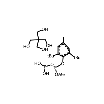 COP(Oc1c(C(C)(C)C)cc(C)cc1C(C)(C)C)OP(O)O.OCC(CO)(CO)CO